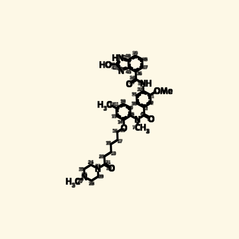 COc1cc(C(=O)N(C)c2ccc(C)cc2OCCCCCC(=O)N2CCN(C)CC2)ccc1NC(=O)c1cccc2[nH]c(O)nc12